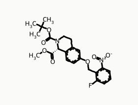 COC(=O)[C@H]1c2ccc(OCc3c(F)cccc3[N+](=O)[O-])cc2CCN1C(=O)OC(C)(C)C